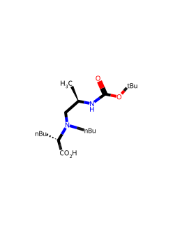 CCCC[C@@H](C(=O)O)N(CCCC)C[C@@H](C)NC(=O)OC(C)(C)C